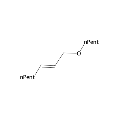 CCCCCC=CCOCCCCC